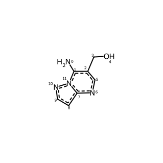 Nc1c(CO)cnc2ccnn12